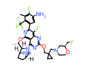 Cc1c(F)c(N)cc(-c2nc3c4c(nc(OCC5(CN6CCO[C@H](CF)C6)CC5)nc4c2F)N2C[C@H]4CC[C@H](N4)[C@H]2[C@H](C)O3)c1C(F)(F)F